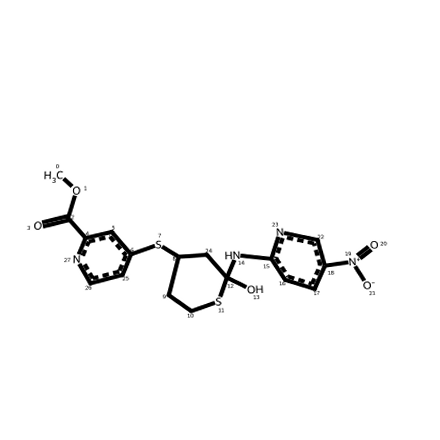 COC(=O)c1cc(SC2CCSC(O)(Nc3ccc([N+](=O)[O-])cn3)C2)ccn1